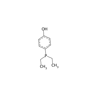 CCP(CC)c1ccc(O)cc1